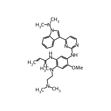 C=CC(=O)Nc1cc(Nc2nccc(-c3cn(N(C)C)c4ccccc34)n2)c(OC)cc1N(C)CCN(C)C